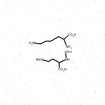 CCCCCCCCNC(CCSC)C(=O)O.NCCCCC(N)C(=O)O